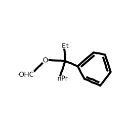 CCCC(CC)(O[C]=O)c1ccccc1